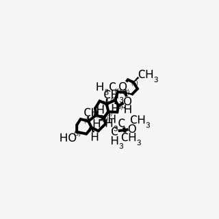 COC(C)(C)C.C[C@H]1CC[C@@]2(OC1)O[C@H]1C[C@H]3[C@@H]4CC[C@@H]5C[C@@H](O)CC[C@]5(C)[C@H]4CC[C@]3(C)[C@H]1[C@@H]2C